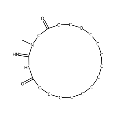 CN1CC(=O)OCOCCCCCCCCCCCC(=O)NC1=N